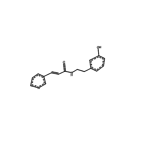 O=C(C=Cc1cccnc1)NCCc1cccc(O)c1